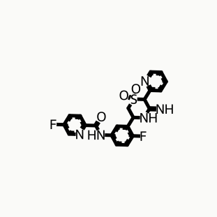 N=C1NC(c2cc(NC(=O)c3ccc(F)cn3)ccc2F)CS(=O)(=O)C1c1ccccn1